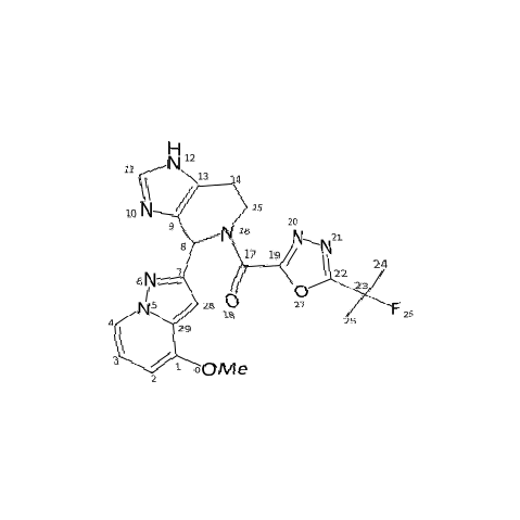 COc1cccn2nc(C3c4nc[nH]c4CCN3C(=O)c3nnc(C(C)(C)F)o3)cc12